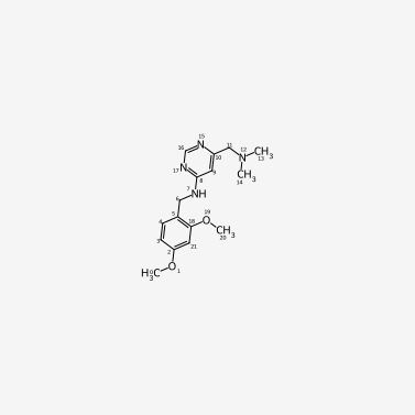 COc1ccc(CNc2cc(CN(C)C)ncn2)c(OC)c1